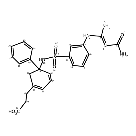 NC(=O)N=C(N)Nc1cccc(S(=O)(=O)NC2(c3ccccc3)C=CC=C(CCC(=O)O)C2)c1